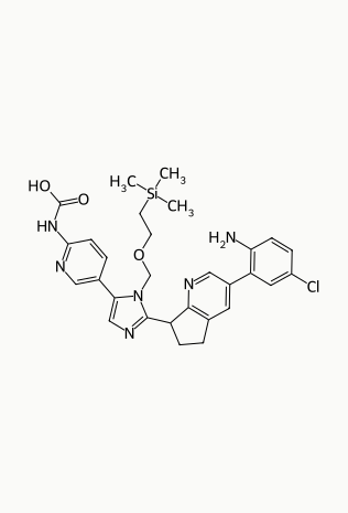 C[Si](C)(C)CCOCn1c(-c2ccc(NC(=O)O)nc2)cnc1C1CCc2cc(-c3cc(Cl)ccc3N)cnc21